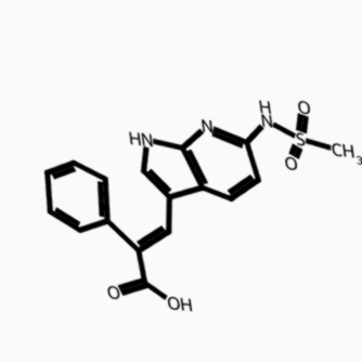 CS(=O)(=O)Nc1ccc2c(/C=C(/C(=O)O)c3ccccc3)c[nH]c2n1